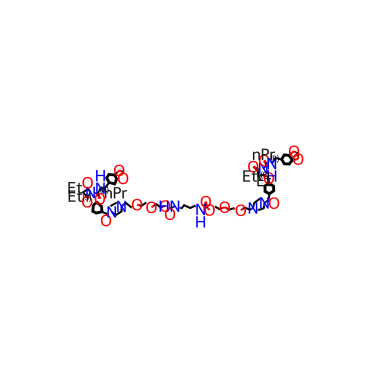 CCC[C@@H](NC(=O)N1C(=O)C(CC)(CC)[C@@H]1Oc1ccc(C(=O)N2CCN(CCOCCOCCOC(=O)NCCCCNC(=O)OCCOCCOCCN3CCN(C(=O)c4ccc(O[C@@H]5N(C(=O)N[C@H](CCC)c6ccc7c(c6)OCO7)C(=O)C5(CC)CC)cc4)CC3)CC2)cc1)c1ccc2c(c1)OCO2